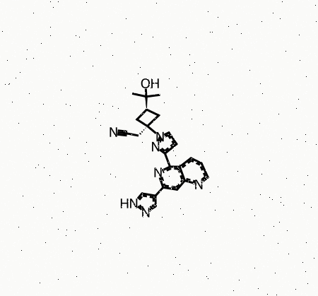 CC(C)(O)[C@H]1C[C@@](CC#N)(n2ccc(-c3nc(-c4cn[nH]c4)cc4ncccc34)n2)C1